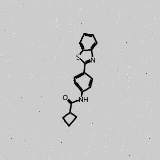 O=C(Nc1ccc(-c2nc3ccccc3s2)cc1)C1CCC1